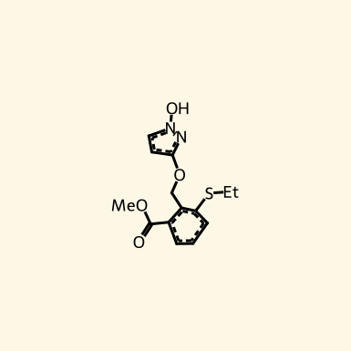 CCSc1cccc(C(=O)OC)c1COc1ccn(O)n1